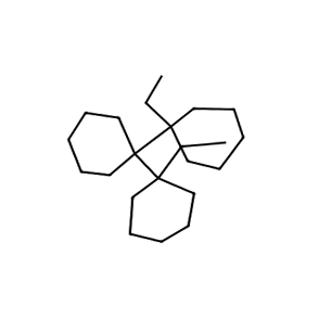 CCC1(C2(C3(CC)CCCCC3)CCCCC2)CCCCC1